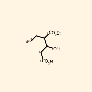 CCOC(=O)C(CC(C)C)C(O)CC(=O)O